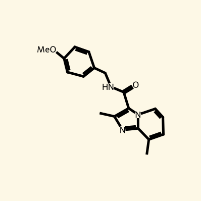 COc1ccc(CNC(=O)c2c(C)nc3c(C)cccn23)cc1